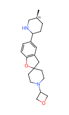 C[C@H]1CCC(c2ccc3c(c2)CC2(CCN(C4COC4)CC2)O3)NC1